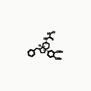 CCNC(=S)N[C@@H]1CC[C@@]2(c3ccc(OC)c(OC)c3)CCN(Cc3ccccc3)[C@H]2C1